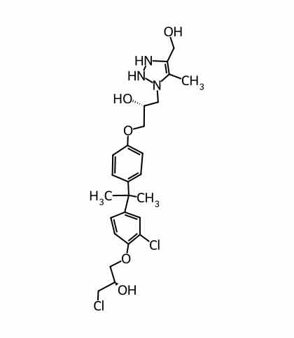 CC1=C(CO)NNN1C[C@@H](O)COc1ccc(C(C)(C)c2ccc(OC[C@@H](O)CCl)c(Cl)c2)cc1